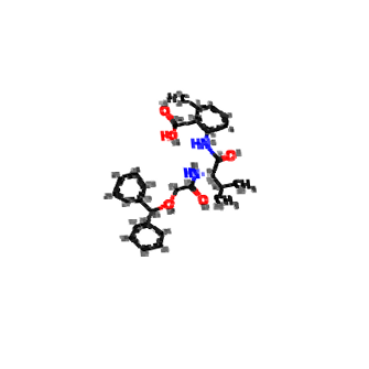 Cc1cccc(NC(=O)[C@@H](NC(=O)COC(c2ccccc2)c2ccccc2)C(C)C)c1C(=O)O